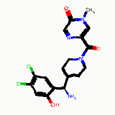 Cn1cc(C(=O)N2CCC([C@@H](N)c3cc(Cl)c(Cl)cc3O)CC2)ncc1=O